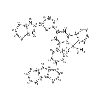 CC1(C)c2ccccc2-c2nc(-c3cccc(-c4nc5ccccc5o4)c3)nc(-c3ccc(-c4cccc5c4sc4ccccc45)cc3)c21